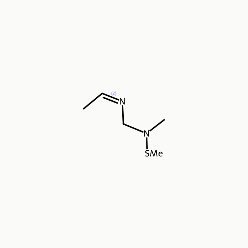 C/C=N\CN(C)SC